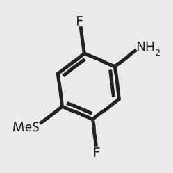 CSc1cc(F)c(N)cc1F